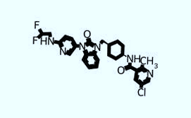 Cc1ncc(Cl)cc1C(=O)N[C@H]1CC[C@H](Cn2c(=O)n(-c3ccc(NCC(F)F)nc3)c3ccccc32)CC1